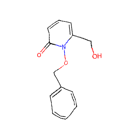 O=c1cccc(CO)n1OCc1ccccc1